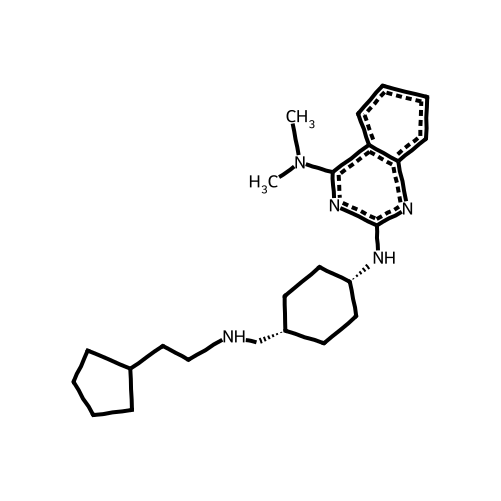 CN(C)c1nc(N[C@H]2CC[C@@H](CNCCC3CCCC3)CC2)nc2ccccc12